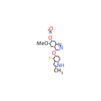 COc1cc2c(Oc3ccc4[nH]c(C)cc4c3F)cnnc2cc1OC[C@@H]1CO1